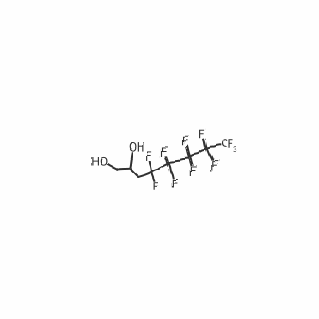 OCC(O)CC(F)(F)C(F)(F)C(F)(F)C(F)(F)C(F)(F)F